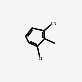 [CH2]c1c(Cl)cccc1C#N